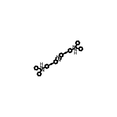 C(#Cc1ccc2c(c1)CN1CN2Cc2cc(C#Cc3ccc(-c4nc(-c5ccccc5)c(-c5ccccc5)[nH]4)cc3)ccc21)c1ccc(-c2nc(-c3ccccc3)c(-c3ccccc3)[nH]2)cc1